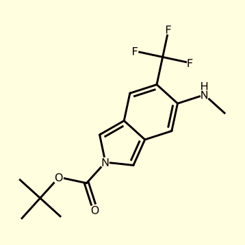 CNc1cc2cn(C(=O)OC(C)(C)C)cc2cc1C(F)(F)F